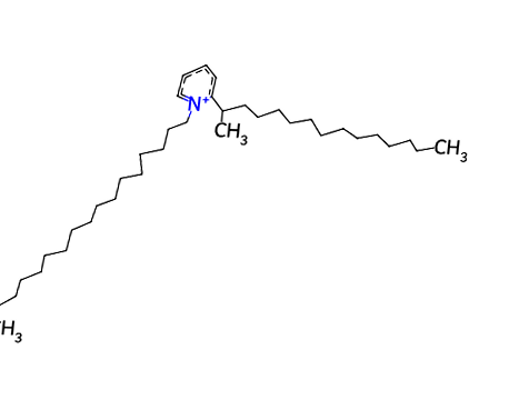 CCCCCCCCCCCCCCCCC[n+]1ccccc1C(C)CCCCCCCCCCCCC